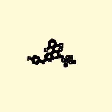 O=C1C(c2c(Cl)cccc2Cl)=C2C=CC(Sc3ccc(F)cc3)=NN2CN1COP(=O)(O)O